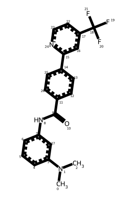 CN(C)c1cccc(NC(=O)c2ccc(-c3cc(C(F)(F)F)ccn3)cc2)c1